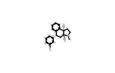 CN1CC[C@@H]2c3ccccc3[C@@H](c3cccc(F)c3)C[C@H]21